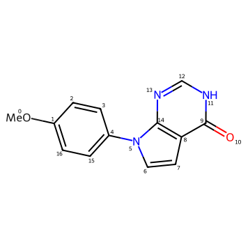 COc1ccc(-n2ccc3c(=O)[nH]cnc32)cc1